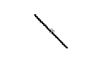 CCCCCCCCCCCCCCCCCCCC(=O)OC(=O)CCCCCCCCCCCCCCCCCC